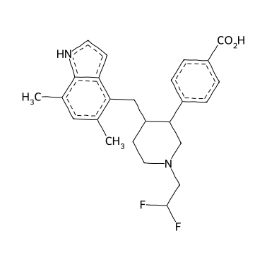 Cc1cc(C)c2[nH]ccc2c1CC1CCN(CC(F)F)CC1c1ccc(C(=O)O)cc1